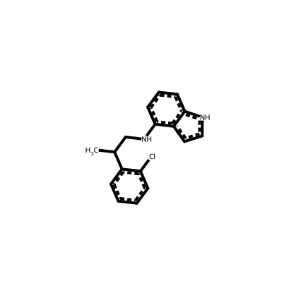 CC(CNc1cccc2[nH]ccc12)c1ccccc1Cl